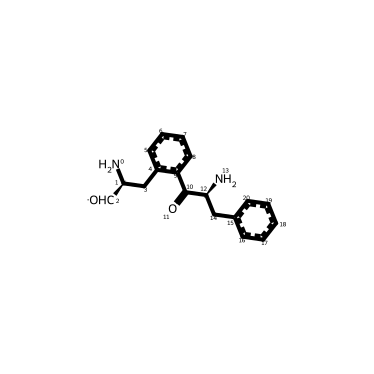 N[C@H]([C]=O)Cc1ccccc1C(=O)[C@@H](N)Cc1ccccc1